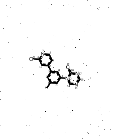 Cc1cc(-c2ccnc(Cl)c2)cc(-n2cncnc2=O)c1